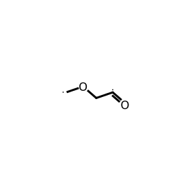 [CH2]OC[C]=O